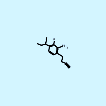 C#CCCc1ccc(C(C)CC)c(F)c1P